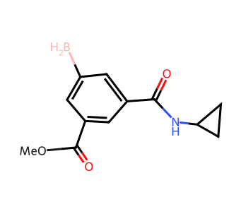 Bc1cc(C(=O)NC2CC2)cc(C(=O)OC)c1